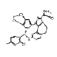 Cc1ccc(C(=O)Nc2ccc3c(c2)-c2c(c(C(N)=O)nn2-c2ccc4c(c2)OCO4)CC3)c(Cl)n1